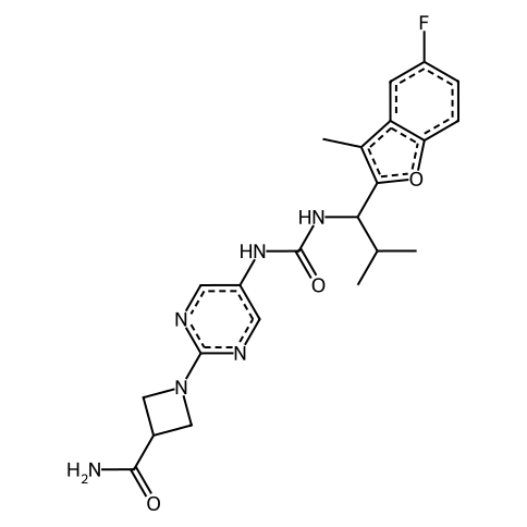 Cc1c(C(NC(=O)Nc2cnc(N3CC(C(N)=O)C3)nc2)C(C)C)oc2ccc(F)cc12